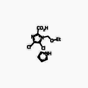 CCOCn1c(C(=O)O)nc(Cl)c1Cl.c1cc[nH]c1